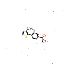 CCC(=O)c1ccc(-c2sccc2C)cc1